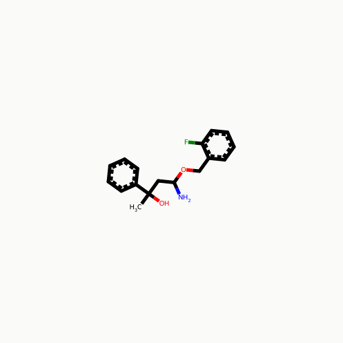 CC(O)(CC(N)OCc1ccccc1F)c1ccccc1